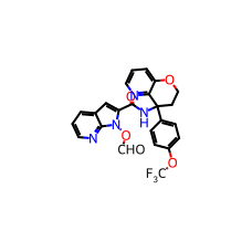 O=COn1c(C(=O)NC2(c3ccc(OC(F)(F)F)cc3)CCOc3cccnc32)cc2cccnc21